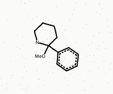 COC1(c2ccccc2)CCCC[N]1